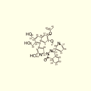 COc1cc2c(-c3ccnc(-n4nc(-c5cccnc5)c5ccccc5c4=O)c3)c(CO)c(CO)cc2cc1OC(C)C.Cl